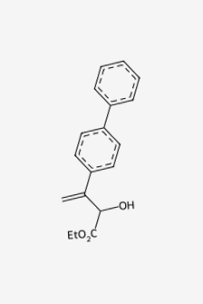 C=C(c1ccc(-c2ccccc2)cc1)C(O)C(=O)OCC